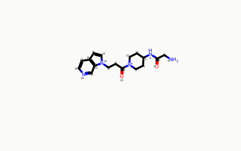 NCC(=O)NC1CCN(C(=O)CCn2ccc3ccncc32)CC1